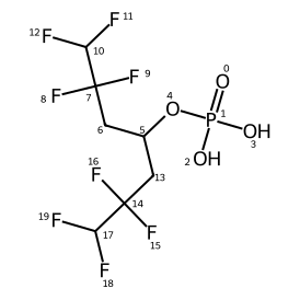 O=P(O)(O)OC(CC(F)(F)C(F)F)CC(F)(F)C(F)F